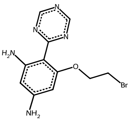 Nc1cc(N)c(-c2ncncn2)c(OCCBr)c1